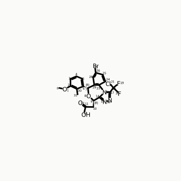 COc1cccc([C@H]2O[C@H](CC(=O)O)c3nnc(C(F)(F)Cl)n3-c3ccc(Br)cc32)c1C